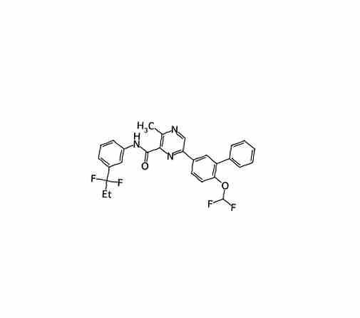 CCC(F)(F)c1cccc(NC(=O)c2nc(-c3ccc(OC(F)F)c(-c4ccccc4)c3)cnc2C)c1